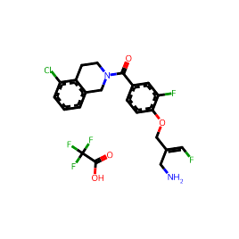 NCC(=CF)COc1ccc(C(=O)N2CCc3c(Cl)cccc3C2)cc1F.O=C(O)C(F)(F)F